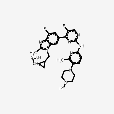 CS(=O)(=O)O.Cc1nc(Nc2ncc(F)c(-c3cc(F)c4nc(C)n(CC5CC5)c4c3)n2)ccc1N1CCN(C(C)C)CC1